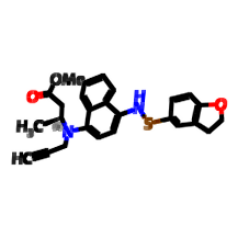 C#CCN(c1ccc(NSc2ccc3c(c2)CCO3)c2ccccc12)[C@@H](C)CC(=O)OC